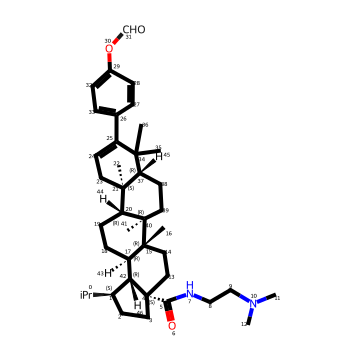 CC(C)[C@@H]1CC[C@]2(C(=O)NCCN(C)C)CC[C@]3(C)[C@H](CC[C@@H]4[C@@]5(C)CC=C(c6ccc(OC=O)cc6)C(C)(C)[C@@H]5CC[C@]43C)[C@@H]12